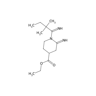 CCOC(=O)C1CCN(C(=N)C(C)(C)CC)C(=N)C1